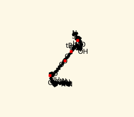 Cc1ncsc1-c1ccc(CNC(=O)[C@@H]2C[C@@H](O)CN2C(=O)[C@@H](NC(=O)CCCCCOCCOCCOCCCCCCOc2cccc(C(C)NC(=O)c3cccc(NCc4nnc(-c5ccncn5)n4C)c3)c2)C(C)(C)C)cc1